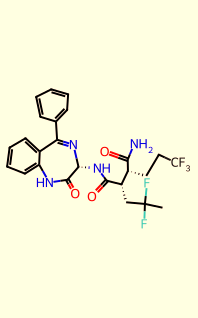 CC(F)(F)C[C@H](C(=O)N[C@H]1N=C(c2ccccc2)c2ccccc2NC1=O)[C@@H](CCC(F)(F)F)C(N)=O